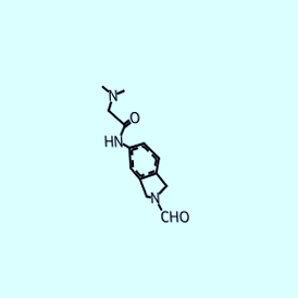 CN(C)CC(=O)Nc1ccc2c(c1)CN(C=O)C2